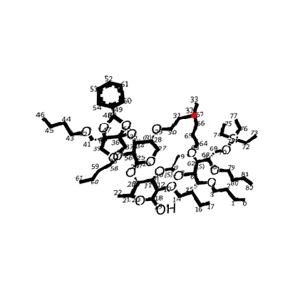 CCCCOCC(O[C@H](C)O[C@H]1C(OCCCC)C(O)OC(C)[C@@H]1O[C@@H]1OC[C@@H](OCCCC)[C@@H](OC23COC[C@@]2(COCCCC)O[C@@H](c2ccccc2)O3)C1OCCCC)[C@@H](OCCCC)[C@H](CO[Si](CC)(CC)CC)OCCCC